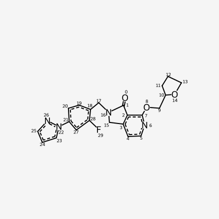 O=C1c2c(ccnc2OCC2CCCO2)CN1Cc1ccc(-n2cccn2)cc1F